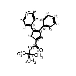 CC(C)(C)OC(=O)C1=CC(c2ccccc2)=C(c2ccncc2)C1